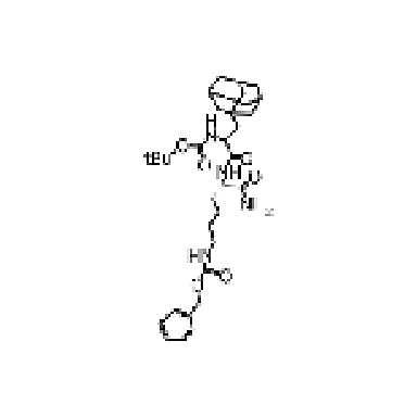 CC(C)(C)OC(=O)N[C@@H](CC12CC3CC(CC(C3)C1)C2)C(=O)N[C@@H](CCCCNC(=O)OCc1ccccc1)C(N)=O